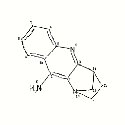 Nc1c2c(nc3ccccc13)C1CCN2C1